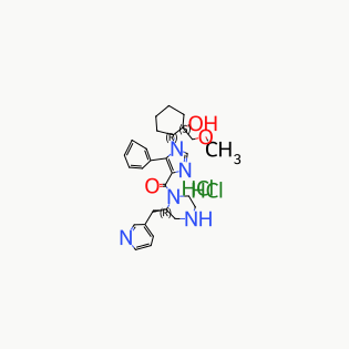 COC[C@]1(O)CCCC[C@H]1n1cnc(C(=O)N2CCNC[C@H]2Cc2cccnc2)c1-c1ccccc1.Cl.Cl